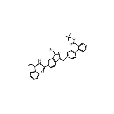 CCC(NC(=O)c1ccc2c(c1)c(Br)nn2Cc1ccc(-c2ccccc2C(=O)OC(C)(C)C)cc1)c1ccccc1